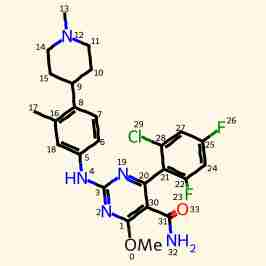 COc1nc(Nc2ccc(C3CCN(C)CC3)c(C)c2)nc(-c2c(F)cc(F)cc2Cl)c1C(N)=O